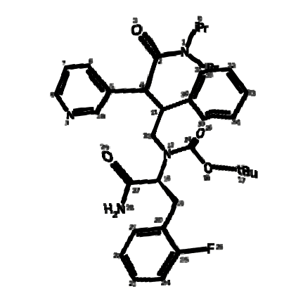 CC(C)N(C(=O)C(c1cccnc1)C(CN(C(=O)OC(C)(C)C)[C@@H](Cc1ccccc1F)C(N)=O)c1ccccc1)C(C)C